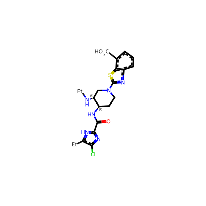 CCN[C@@H]1CN(c2nc3cccc(C(=O)O)c3s2)CC[C@H]1NC(=O)c1nc(Cl)c(CC)[nH]1